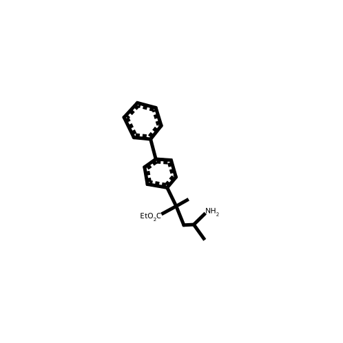 CCOC(=O)C(C)(CC(C)N)c1ccc(-c2ccccc2)cc1